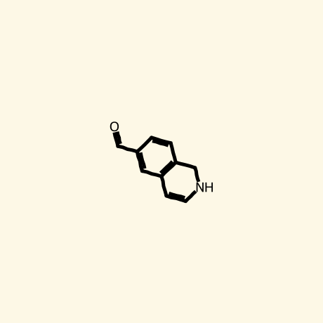 O=Cc1ccc2c(c1)C=CNC2